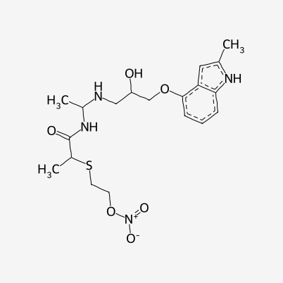 Cc1cc2c(OCC(O)CNC(C)NC(=O)C(C)SCCO[N+](=O)[O-])cccc2[nH]1